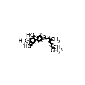 COc1cc(CO)c(-c2ccc(OCCC(C)CCCC(C)C)cc2)cc1CO